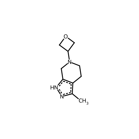 Cc1n[nH]c2c1CCN(C1COC1)C2